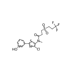 CN(C(=O)CCS(=O)(=O)CCC(F)(F)F)c1sc(-c2ccc[n+](O)c2)nc1Cl